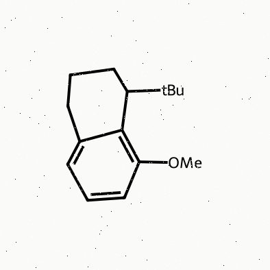 COc1cccc2c1C(C(C)(C)C)CCC2